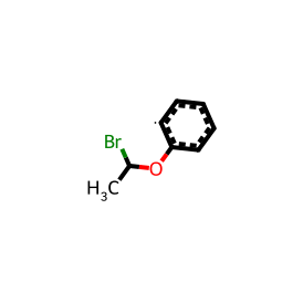 CC(Br)Oc1[c]cccc1